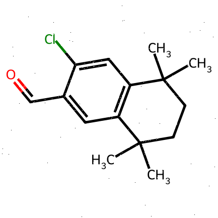 CC1(C)CCC(C)(C)c2cc(C=O)c(Cl)cc21